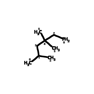 CC(C)CC(C)(C)CP